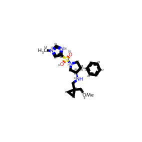 COCC1(CN[C@H]2CN(S(=O)(=O)c3cn(C)cn3)C[C@@H]2c2ccccc2)CC1